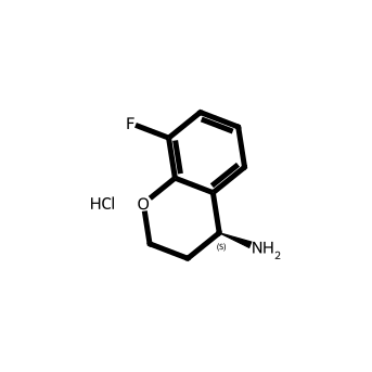 Cl.N[C@H]1CCOc2c(F)cccc21